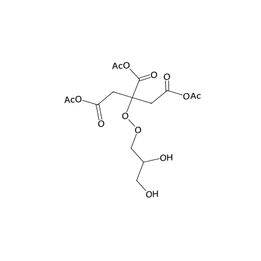 CC(=O)OC(=O)CC(CC(=O)OC(C)=O)(OOCC(O)CO)C(=O)OC(C)=O